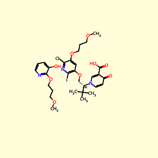 COCCCOc1cc(OC[C@H](n2ccc(=O)c(C(=O)O)c2)C(C)(C)C)c(I)nc1Cl.COCCCOc1ncccc1O